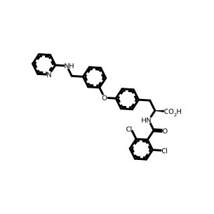 O=C(N[C@@H](Cc1ccc(Oc2cccc(CNc3ccccn3)c2)cc1)C(=O)O)c1c(Cl)cccc1Cl